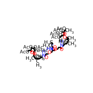 C/C=C(\C)C(=O)NC(COCCC(=O)NCCCC(C)(C)CC(C)(C)COC1OC(COC(C)=O)C(OC(C)=O)C(OC(C)=O)C1NC(C)=O)COCCC(=O)NCCCC(C)(C)CC(C)(C)COC(OC(COC(C)=O)[C@@H](C)OC(C)=O)[C@H](COC(C)=O)NC(C)=O